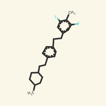 Cc1c(F)cc(CCc2ccc(CCC3CCC(C)CC3)cc2)cc1F